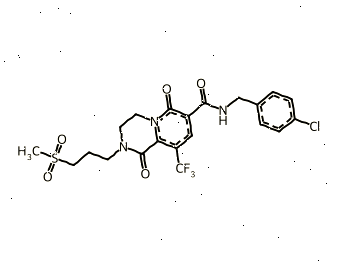 CS(=O)(=O)CCCN1CCn2c(c(C(F)(F)F)cc(C(=O)NCc3ccc(Cl)cc3)c2=O)C1=O